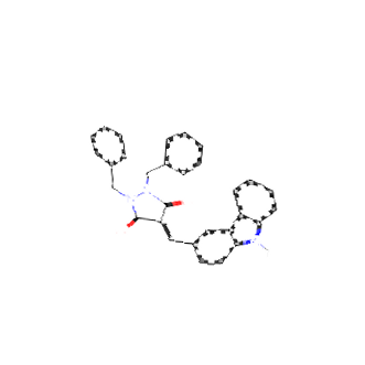 CCn1c2ccccc2c2cc(C=C3C(=O)N(Cc4ccccc4)N(Cc4ccccc4)C3=O)ccc21